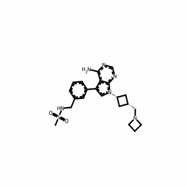 CS(=O)(=O)NCc1cccc(-c2cn([C@H]3C[C@@H](CN4CCC4)C3)c3ncnc(N)c23)c1